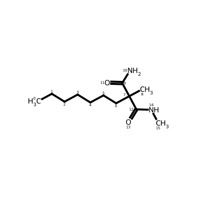 CCCCCCCC(C)(C(N)=O)C(=O)NC